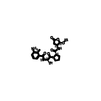 CCO[C@@H]1OC(=O)C[C@@H]1NC(=O)[C@@H]1CCCN1C(=O)[C@@H](NC(=O)c1cccc(N)c1C)C(C)C